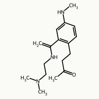 C=C(NCCN(C)C)c1cc(NC)ccc1CCC(C)=O